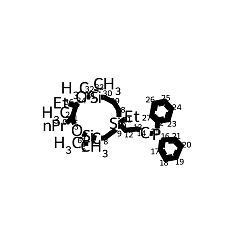 CCCC1(C)O[Si](C)(C)CCC[Si](CC)(CCCP(c2ccccc2)c2ccccc2)CCC[Si](C)(C)OC1CC